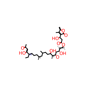 C=C1OC(=O)C(C(O)CC(=O)O[C@H](C)[C@@H](C)C(O)CC(=O)[C@@H](C)C(O)CCC(C)C[C@@H](C)CC/C=C(\CC)C(O)=CC(C)=O)=C1C